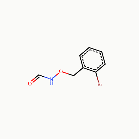 O=CNOCc1ccccc1Br